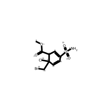 COC(=O)C1C=C(S(N)(=O)=O)C=CC1(Cl)CBr